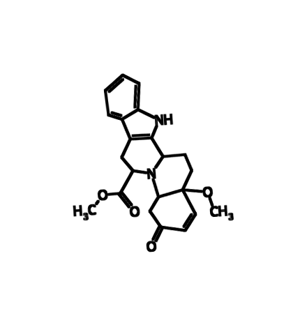 COC(=O)C1Cc2c([nH]c3ccccc23)C2CCC3(OC)C=CC(=O)CC3N12